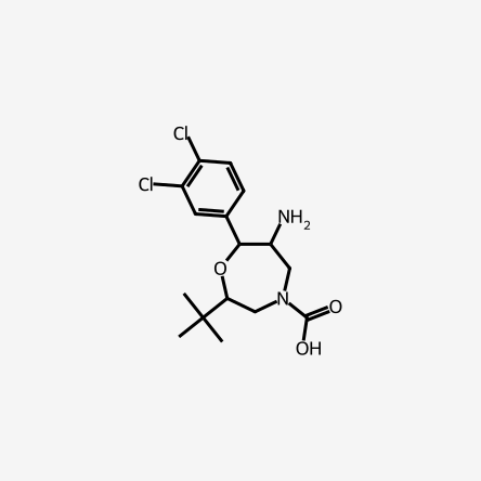 CC(C)(C)C1CN(C(=O)O)CC(N)C(c2ccc(Cl)c(Cl)c2)O1